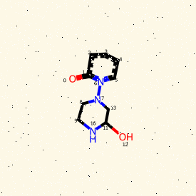 O=c1ccccn1N1CCNC(O)C1